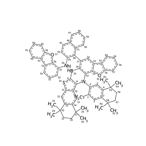 Cc1cc2c(cc1N1c3c(sc4cc5c(cc34)C(C)(C)CCC5(C)C)Bc3c(-c4c(Nc5cccc6c5oc5ccccc56)ccc5ccccc45)cc4c(oc5ccccc54)c31)C(C)(C)CCC2(C)C